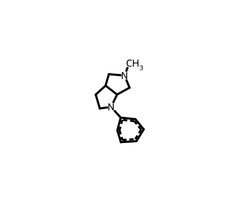 CN1CC2CCN(c3ccccc3)C2C1